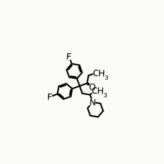 CCC(=O)C(CC(C)N1CCCCC1)(c1ccc(F)cc1)c1ccc(F)cc1